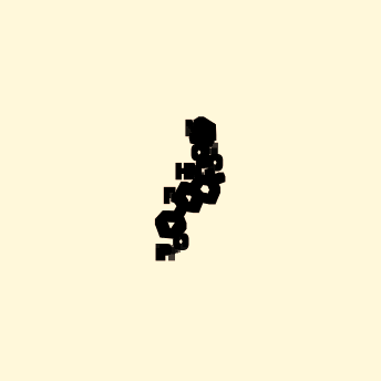 CC(C)Oc1cccc(-c2cc3c(cc2F)[C@H](NC(=O)O[C@@H]2CN4CCC2CC4)C(C)(C)CC3)c1